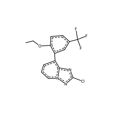 CCOc1ccc(C(F)(F)F)cc1-c1cccn2nc(Cl)nc12